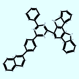 c1ccc(-c2nc(-c3ccc(-c4ccc5ccccc5c4)cc3)nc(-c3cc4c5ccccc5sc4c4c3oc3ccccc34)n2)cc1